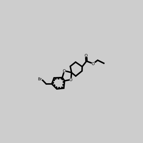 CCOC(=O)C1CCC2(CC1)Oc1ccc(CBr)cc1O2